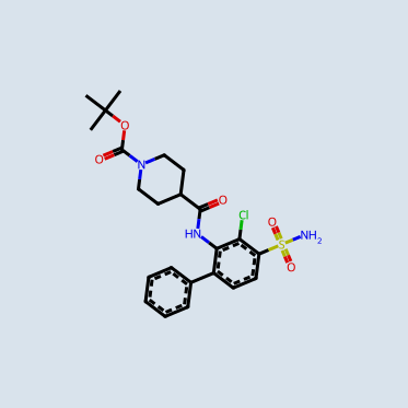 CC(C)(C)OC(=O)N1CCC(C(=O)Nc2c(-c3ccccc3)ccc(S(N)(=O)=O)c2Cl)CC1